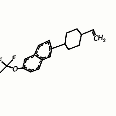 C=CC1CCC(c2ccc3cc(OC(F)(F)F)ccc3c2)CC1